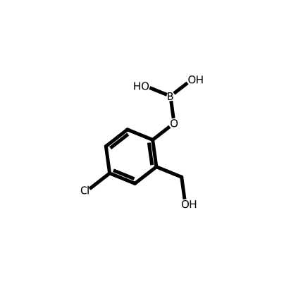 OCc1cc(Cl)ccc1OB(O)O